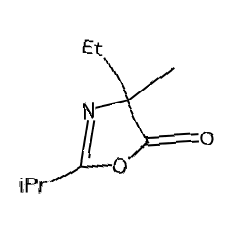 CCC1(C)N=C(C(C)C)OC1=O